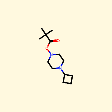 CC(C)(C)C(=O)ON1CCN(C2CCC2)CC1